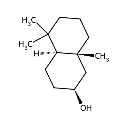 CC1(C)CCC[C@]2(C)C[C@@H](O)CC[C@@H]12